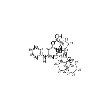 C[C@H](Oc1cc(Nc2cnccn2)nc(-c2noc3c2CCC[C@@]32CCCCC2=O)n1)[C@@H]1CCCN1C